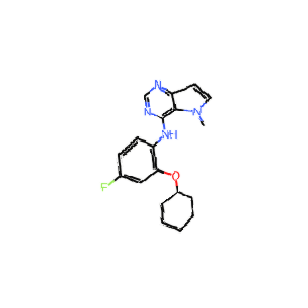 Cn1ccc2ncnc(Nc3ccc(F)cc3OC3CCCCC3)c21